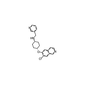 Clc1cc2cnccc2cc1O[C@H]1CC[C@H](NCc2cccnc2)CC1